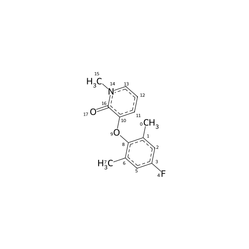 Cc1cc(F)cc(C)c1Oc1cccn(C)c1=O